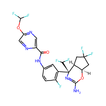 NC1=N[C@@](c2cc(NC(=O)c3cnc(OC(F)F)cn3)ccc2F)(C(F)F)[C@H]2CC(F)(F)C[C@H]2O1